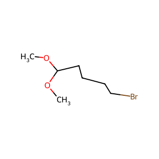 COC(CCCCBr)OC